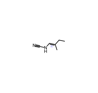 CC/C(C)=C/NC#N